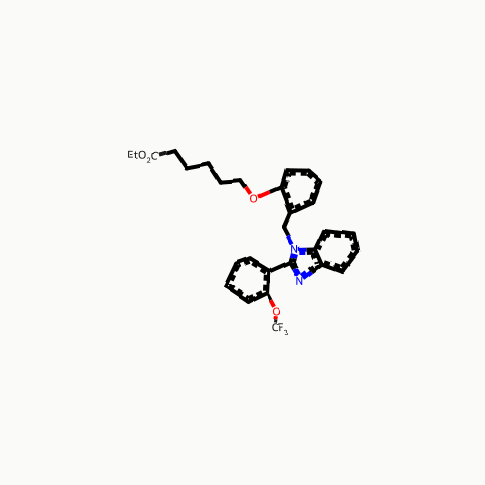 CCOC(=O)CCCCCOc1ccccc1Cn1c(-c2ccccc2OC(F)(F)F)nc2ccccc21